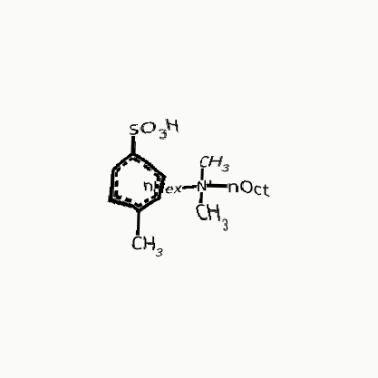 CCCCCCCC[N+](C)(C)CCCCCC.Cc1ccc(S(=O)(=O)O)cc1